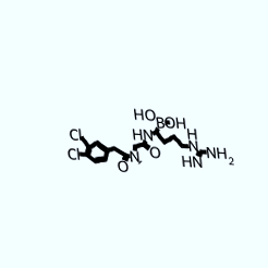 CN(CC(=O)NC(CCCNC(=N)N)B(O)O)C(=O)Cc1ccc(Cl)c(Cl)c1